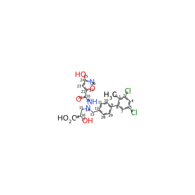 Cc1c(Cl)cc(Cl)cc1-c1ccc(CN(CC(O)C(=O)O)NC(=O)c2cc(O)no2)cc1